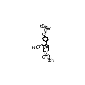 CN1C2CC(c3ccc(OCO[Si](C)(C)C(C)(C)C)cc3)=C(CO)C1CN(C(=O)OC(C)(C)C)C2